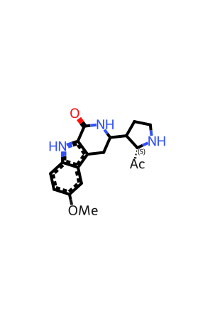 [CH2]C(=O)[C@H]1NCCC1C1Cc2c([nH]c3ccc(OC)cc23)C(=O)N1